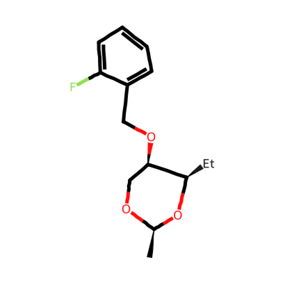 CC[C@H]1O[C@@H](C)OC[C@H]1OCc1ccccc1F